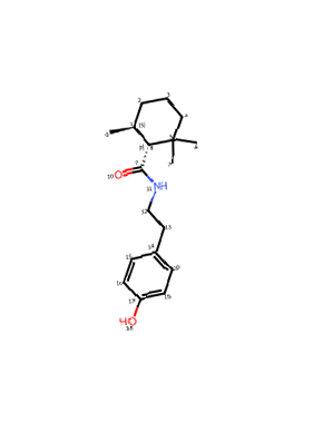 C[C@H]1CCCC(C)(C)[C@@H]1C(=O)NCCc1ccc(O)cc1